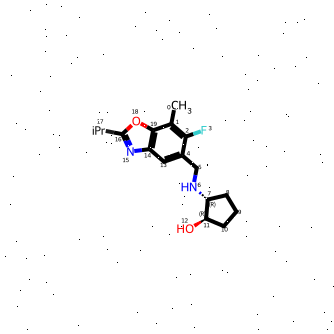 Cc1c(F)c(CN[C@@H]2CCC[C@H]2O)cc2nc(C(C)C)oc12